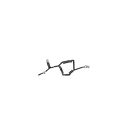 CSC(=O)c1ccc(O)cc1